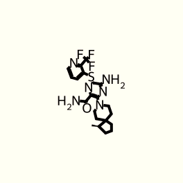 C[C@@H]1CCCC12CCN(c1nc(N)c(Sc3cccnc3C(F)(F)F)nc1C(N)=O)CC2